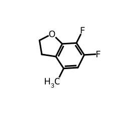 Cc1cc(F)c(F)c2c1CCO2